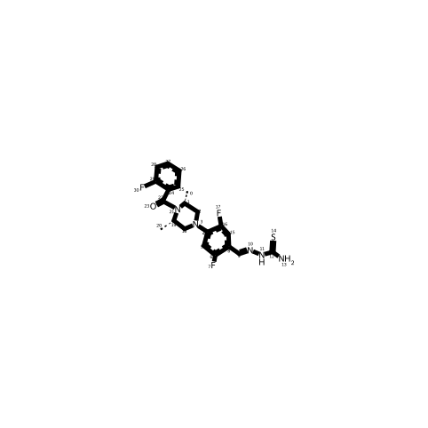 C[C@@H]1CN(c2cc(F)c(/C=N/NC(N)=S)cc2F)C[C@H](C)N1C(=O)c1ccccc1F